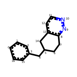 c1ccc(CC2CCc3nnccc3C2)cc1